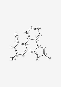 Cc1cn(-c2cn[c]nc2-c2ccc(Cl)cc2Cl)cn1